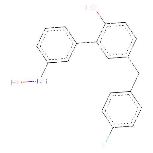 ONc1cccc(-c2cc(Cc3ccc(F)cc3)ccc2O)c1